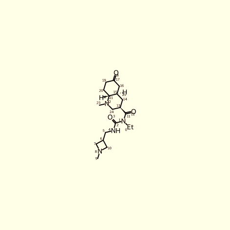 CCN(C(=O)NCC1CN(C)C1)C(=O)[C@@H]1C[C@@H]2CC(=O)CC[C@H]2N(C)C1